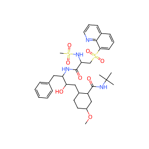 COC1CCC(CC(O)C(Cc2ccccc2)NC(=O)C(CS(=O)(=O)c2cccc3cccnc23)NS(C)(=O)=O)C(C(=O)NC(C)(C)C)C1